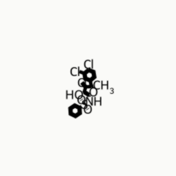 CC1(c2ccc(Cl)c(Cl)c2)OC(NS(=O)(=O)c2ccccc2)=C(O)C1=O